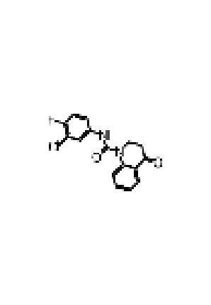 O=C1CCN(C(=O)Nc2ccc(F)c(Cl)c2)c2ccccc21